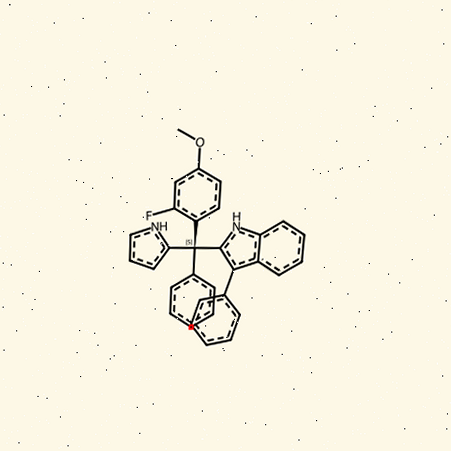 COc1ccc([C@@](c2ccccc2)(c2ccc[nH]2)c2[nH]c3ccccc3c2-c2ccccc2)c(F)c1